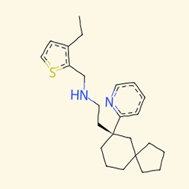 CCc1ccsc1CNCC[C@]1(c2ccccn2)CCCC2(CCCC2)C1